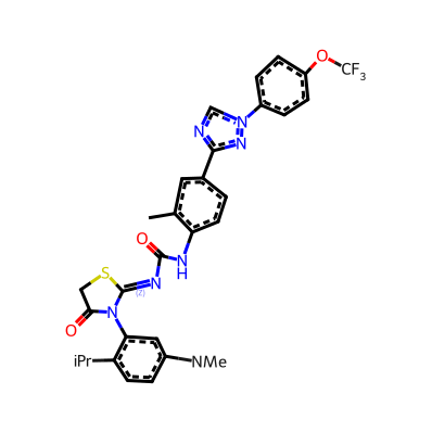 CNc1ccc(C(C)C)c(N2C(=O)CS/C2=N\C(=O)Nc2ccc(-c3ncn(-c4ccc(OC(F)(F)F)cc4)n3)cc2C)c1